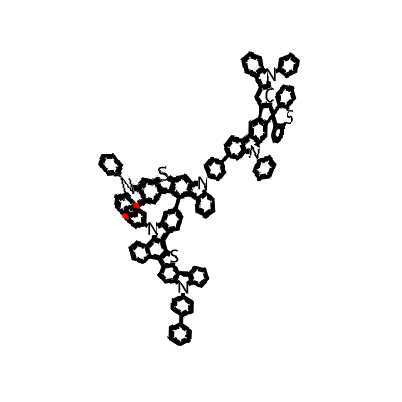 c1ccc(-c2ccc(-n3c4ccccc4c4c5sc6c(c7ccccc7c7c6c6ccc(-c8c9c(cc%10c8c8ccccc8n%10-c8ccc(-c%10ccc%11c%12cc%13c(cc%12n(-c%12ccccc%12)c%11c%10)C%10(c%11ccccc%11Sc%11ccccc%11%10)c%10cc%11c(cc%10-%13)c%10ccccc%10n%11-c%10ccccc%10)cc8)sc8cc%10c(cc89)c8ccccc8n%10-c8ccccc8)cc6n7-c6ccccc6)c5ccc43)cc2)cc1